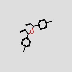 C=CC(OC(C=C)c1ccc(C)cc1)c1ccc(C)cc1